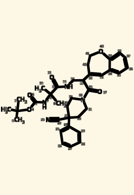 CC(C)(C)OC(=O)NC(C)(C)C(=O)NCC(C(=O)N1CCC(C#N)(c2ccccc2)CC1)C1=Cc2ccccc2OCC1